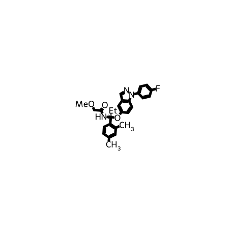 CC[C@](NC(=O)COC)(Oc1ccc2c(cnn2-c2ccc(F)cc2)c1)c1ccc(C)cc1C